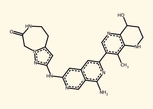 Cc1c(-c2cc3cc(Nc4cc5n(n4)CC(=O)NCC5)ncc3c(N)n2)cnc2c1NCCC2O